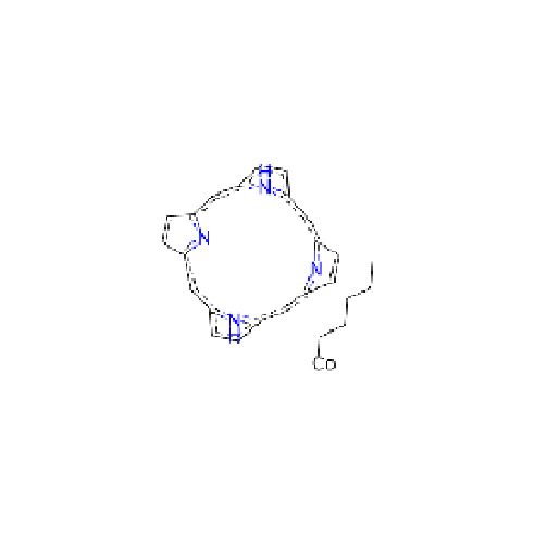 C1=Cc2cc3ccc(cc4nc(cc5ccc(cc1n2)[nH]5)C=C4)[nH]3.CCCC[CH2][Co]